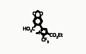 CCOC(=O)c1cc(-c2cc3c(cc2C(=O)O)OCO3)n(C)c1C(F)(F)F